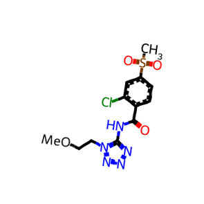 COCCn1nnnc1NC(=O)c1ccc(S(C)(=O)=O)cc1Cl